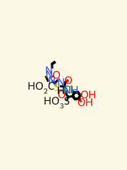 C=CC=NN1CCN([C@]2(C(=O)O)CN3C(=O)[C@@H](NC(=O)C(c4cc(O)c(O)cc4Cl)S(=O)(=O)O)[C@H]3S2)C1=O